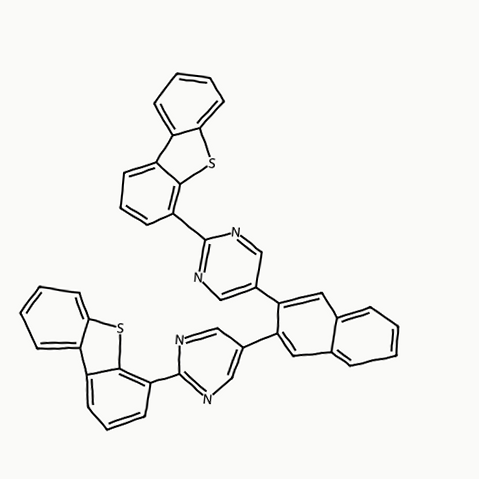 c1ccc2cc(-c3cnc(-c4cccc5c4sc4ccccc45)nc3)c(-c3cnc(-c4cccc5c4sc4ccccc45)nc3)cc2c1